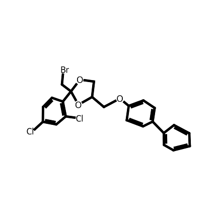 Clc1ccc(C2(CBr)OCC(COc3ccc(-c4ccccc4)cc3)O2)c(Cl)c1